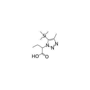 CCC(C(=O)O)n1nnc(C)c1[Si](C)(C)C